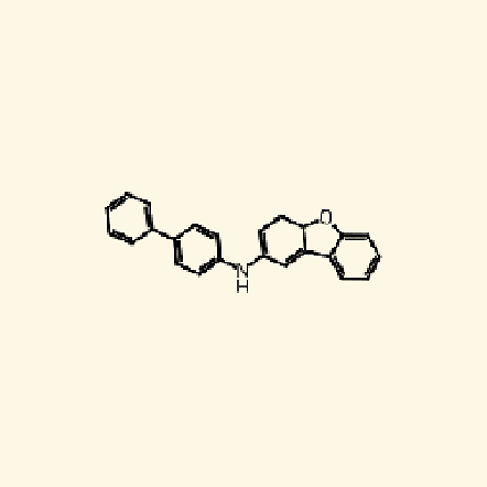 C1=C(Nc2ccc(-c3ccccc3)cc2)C=C2c3ccccc3OC2C1